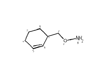 NOCC1C=CCCC1